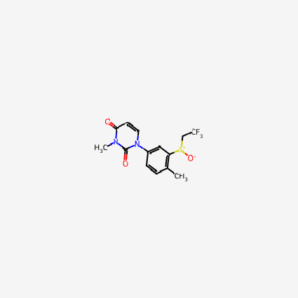 Cc1ccc(-n2ccc(=O)n(C)c2=O)cc1[S+]([O-])CC(F)(F)F